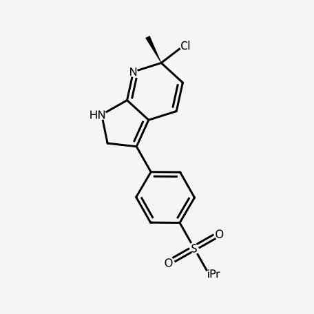 CC(C)S(=O)(=O)c1ccc(C2=C3C=C[C@@](C)(Cl)N=C3NC2)cc1